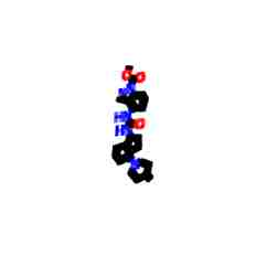 COC(=O)n1ncc2c(NC(=O)NC3CCc4c3cccc4N3CCC(C)CC3)cccc21